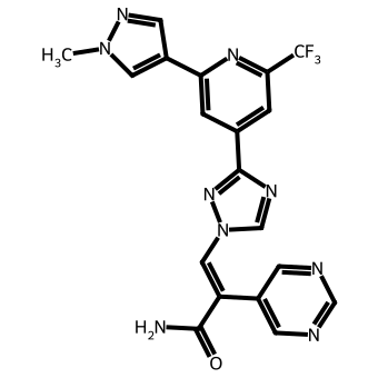 Cn1cc(-c2cc(-c3ncn(/C=C(/C(N)=O)c4cncnc4)n3)cc(C(F)(F)F)n2)cn1